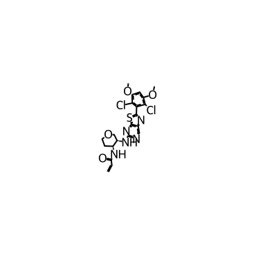 C=CC(=O)N[C@H]1CCOC[C@H]1Nc1ncc2nc(-c3c(Cl)c(OC)cc(OC)c3Cl)sc2n1